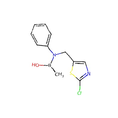 CB(O)N(Cc1cnc(Cl)s1)c1ccccc1